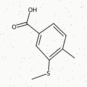 CSc1cc(C(=O)O)ccc1C